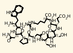 N=C(N)NCCC[C@H](NC(=O)[C@H](CCC(=O)O)NC(=O)[C@H](CO)NC(=O)[C@H](CO)NC(=O)CNC(=O)[C@@H]1CCCN1C(=O)[C@H](CC(N)=O)NC(=O)[C@@H](N)Cc1c[nH]c2ccccc12)C(=O)O